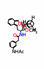 CC(=O)Nc1cccc(CC(=O)N[C@@H](Cc2occ3ccccc23)B2O[C@@H]3C[C@@H]4C[C@@H](C4(C)C)[C@]3(C)O2)c1